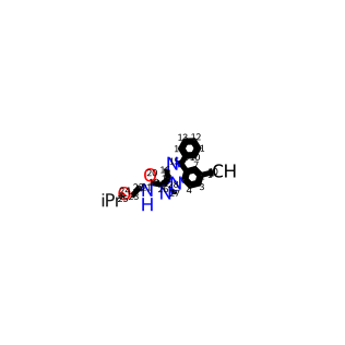 C#Cc1ccc2c(c1)C(c1ccccc1)=NCc1c(C(=O)NCCOC(C)C)ncn1-2